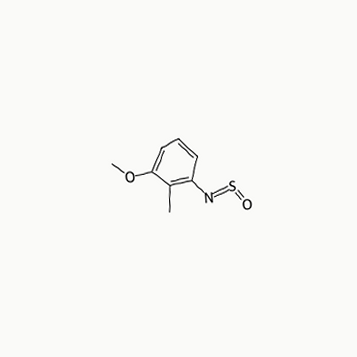 COc1cccc(N=S=O)c1C